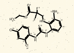 CCOC(=O)C(F)(F)CNc1c(N)cccc1NC(=S)Nc1ccc(Cl)cc1Cl